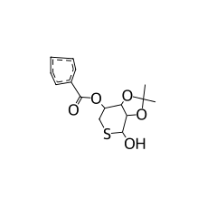 CC1(C)OC2C(OC(=O)c3ccccc3)CSC(O)C2O1